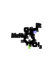 CC/C=C/C1CCC(C)(F)CCC(NC)C1C